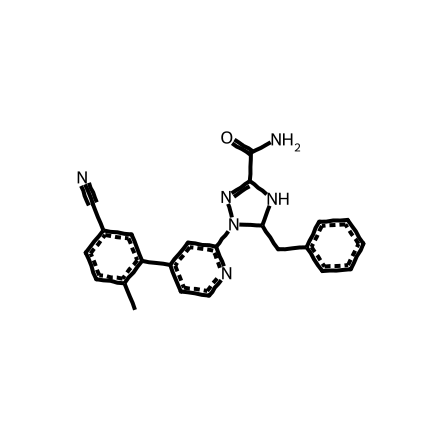 Cc1ccc(C#N)cc1-c1ccnc(N2N=C(C(N)=O)NC2Cc2ccccc2)c1